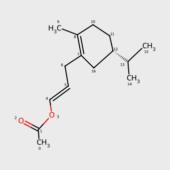 CC(=O)OC=CCC1=C(C)CC[C@H](C(C)C)C1